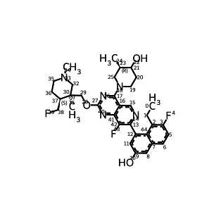 CCc1c(F)ccc2cc(O)cc(-c3ncc4c(N5CCC(O)[C@H](C)C5)nc(OC[C@]5(C)CN(C)CC[C@@H]5CF)nc4c3F)c12